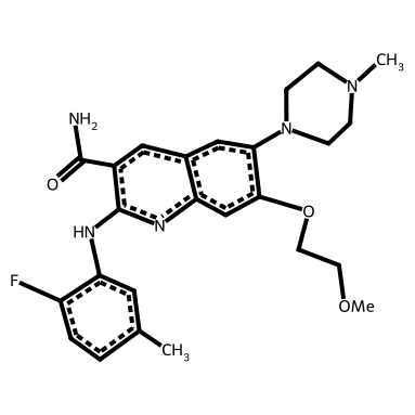 COCCOc1cc2nc(Nc3cc(C)ccc3F)c(C(N)=O)cc2cc1N1CCN(C)CC1